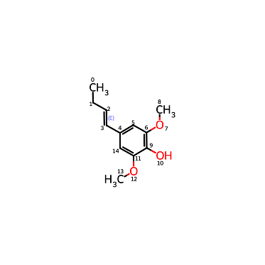 CC/C=C/c1cc(OC)c(O)c(OC)c1